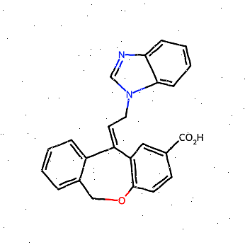 O=C(O)c1ccc2c(c1)/C(=C\Cn1cnc3ccccc31)c1ccccc1CO2